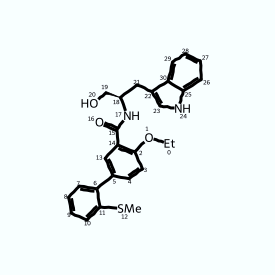 CCOc1ccc(-c2ccccc2SC)cc1C(=O)N[C@@H](CO)Cc1c[nH]c2ccccc12